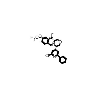 COc1ccc(CN2[C@H](c3cc(Cl)nc(-c4ccccc4)c3)COC[C@H]2C(F)F)cc1